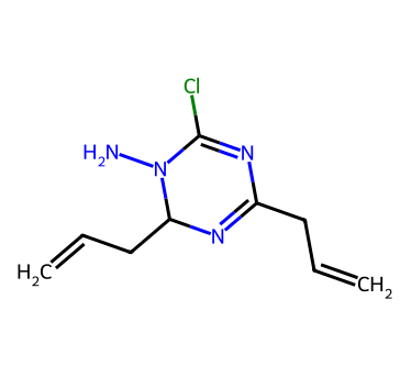 C=CCC1=NC(CC=C)N(N)C(Cl)=N1